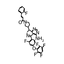 C/N=C(/c1ccc(Oc2c(F)c(F)cc(F)c2F)cc1F)c1c(N)ncnc1C(C)C1CCN(C(=O)/C=C/c2ccccc2F)C1